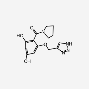 O=C(c1c(O)cc(O)cc1OCc1c[nH]nn1)N1CCCC1